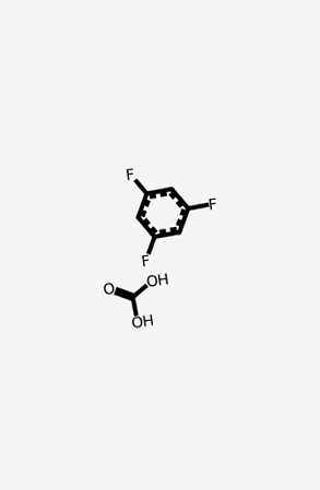 Fc1cc(F)cc(F)c1.O=C(O)O